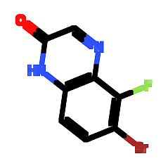 O=c1cnc2c(F)c(Br)ccc2[nH]1